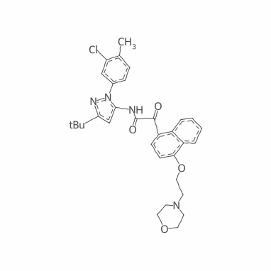 Cc1ccc(-n2nc(C(C)(C)C)cc2NC(=O)C(=O)c2ccc(OCCN3CCOCC3)c3ccccc23)cc1Cl